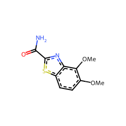 COc1ccc2sc(C(N)=O)nc2c1OC